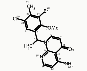 COc1c(C(C)n2ccc(=O)c3c(N)ccnc32)cc(Cl)c(C)c1Br